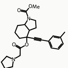 COC(=O)N1CCC2C1CCCC2(C#Cc1cccc(C)c1)OC(=O)CN1CCCC1